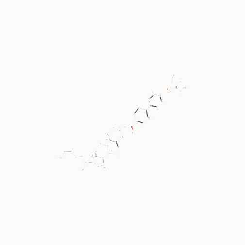 CCC1(COc2ccc(-c3ccc(C(=O)OC4CCC5(C)C(=CCC6C5CCC5(C)C(C(C)CCCC(C)C)CCC65)C4)cc3)cc2)COC1